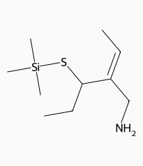 CC=C(CN)C(CC)S[Si](C)(C)C